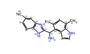 CCc1cc(C)c2[nH]ccc2c1C(N)c1nc2cc(C#N)ccc2[nH]1